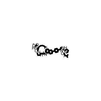 COC(=O)N[C@H]1CCCCOc2cc3cc(-c4ccc(-c5c[nH]c([C@@H]6CCCN6C(=O)[C@@H](C)C(C)C)n5)cc4)ccc3c3nc([nH]c23)[C@@H]2CCCN2C1=O